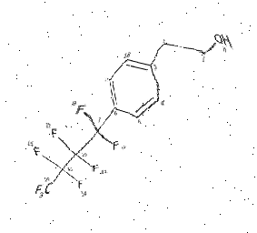 OCCc1ccc(C(F)(F)C(F)(F)C(F)(F)C(F)(F)F)cc1